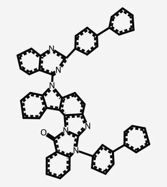 O=c1c2ccccc2n(-c2cccc(-c3ccccc3)c2)c2nc3ccc4c(c5ccccc5n4-c4nc(-c5ccc(-c6ccccc6)cc5)nc5ccccc45)c3n12